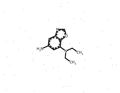 CCN(CC)c1cc(N)cc2ncoc12